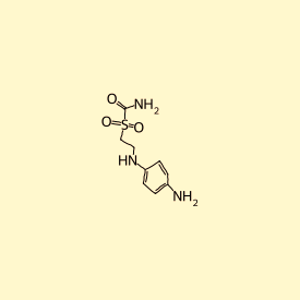 NC(=O)S(=O)(=O)CCNc1ccc(N)cc1